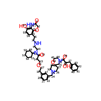 O=C1COc2c(CCNCCN(C(=O)CCOCCc3cccc(CN4CCC5(CC4)CN(C(=O)[C@@H](O)Cc4ccccc4)CCO5)c3)C3CCCCC3)ccc(O)c2N1